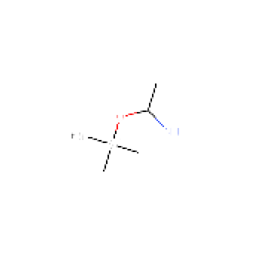 CC(N)O[Si](C)(C)C(C)(C)C